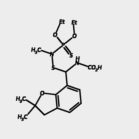 CCOP(=S)(OCC)N(C)SC(NC(=O)O)c1cccc2c1OC(C)(C)C2